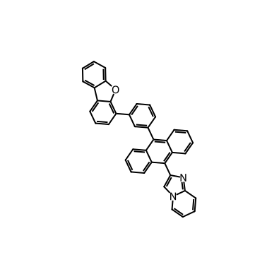 c1cc(-c2c3ccccc3c(-c3cn4ccccc4n3)c3ccccc23)cc(-c2cccc3c2oc2ccccc23)c1